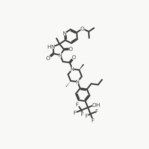 CCCc1cc(C(O)(C(F)(F)F)C(F)(F)F)ccc1N1C[C@H](C)N(C(=O)CN2C(=O)NC(C)(c3ccc(OC(C)C)cn3)C2=O)C[C@H]1C